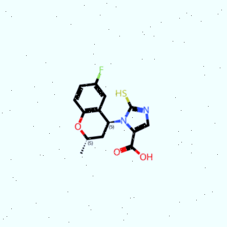 C[C@H]1C[C@H](n2c(C(=O)O)cnc2S)c2cc(F)ccc2O1